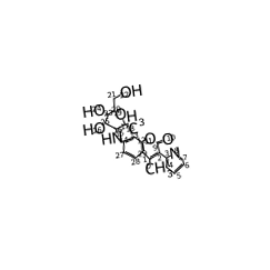 Cc1c(-c2ccccn2)c(=O)oc2cc(NC3C(C)OC(CO)C(O)C3O)ccc12